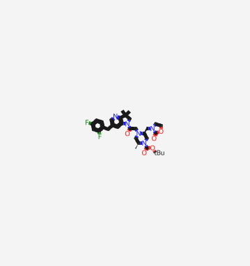 C[C@@H]1CN(CC(=O)N2CC(C)(C)c3ncc(Cc4ccc(F)cc4F)cc32)[C@@H](CN2CCOC2=O)CN1C(=O)OC(C)(C)C